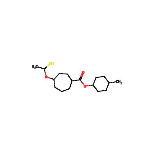 CC1CCC(OC(=O)C2CCCC(OC(C)S)CC2)CC1